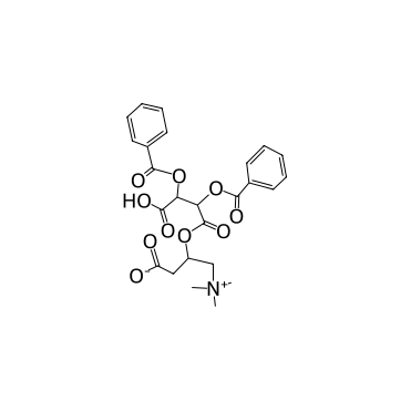 C[N+](C)(C)CC(CC(=O)[O-])OC(=O)C(OC(=O)c1ccccc1)C(OC(=O)c1ccccc1)C(=O)O